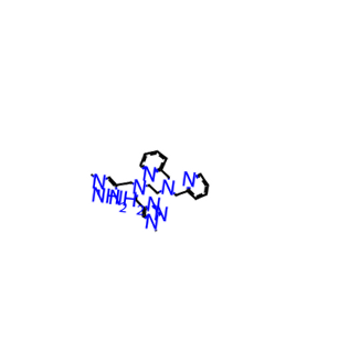 CN(N)/C=C(\N)CN(CCN(Cc1ccccn1)Cc1ccccn1)Cc1cn(C)nn1